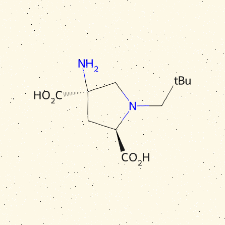 CC(C)(C)CN1C[C@@](N)(C(=O)O)C[C@@H]1C(=O)O